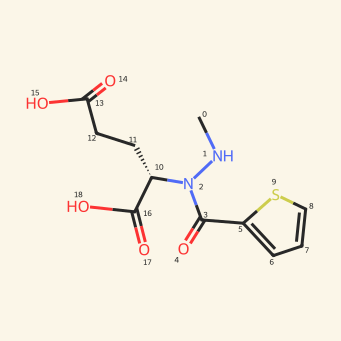 CNN(C(=O)c1cccs1)[C@@H](CCC(=O)O)C(=O)O